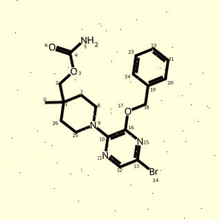 CC1(COC(N)=O)CCN(c2ncc(Br)nc2OCc2ccccc2)CC1